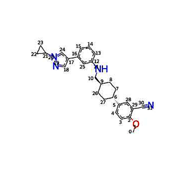 COc1ccc([C@H]2CC[C@H](CNc3cccc(-c4cnn(C5CC5)c4)c3)CC2)cc1C#N